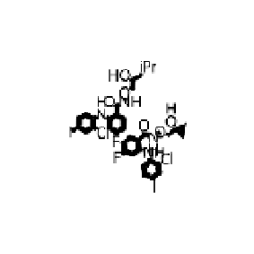 CC(C)CC(O)CONC(=O)c1ccc(F)cc1Nc1ccc(I)cc1Cl.O=C(NOCC1(O)CC1)c1ccc(F)cc1Nc1ccc(I)cc1Cl